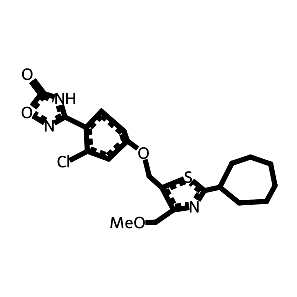 COCc1nc(C2CCCCCC2)sc1COc1ccc(-c2noc(=O)[nH]2)c(Cl)c1